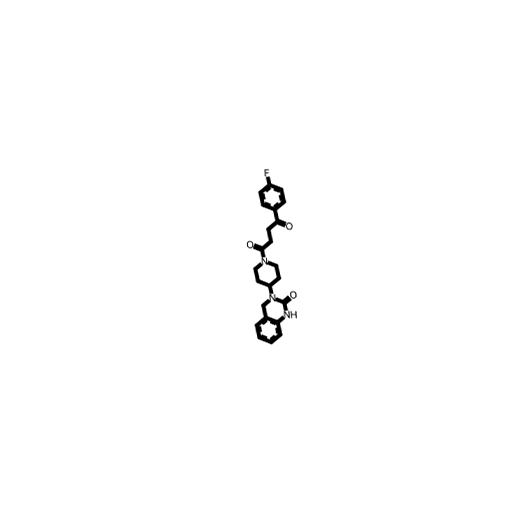 O=C(CCC(=O)N1CCC(N2Cc3ccccc3NC2=O)CC1)c1ccc(F)cc1